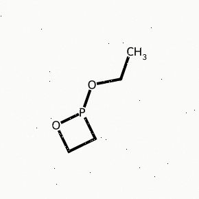 CCOP1CCO1